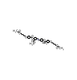 C=CC(=O)OCCCCCOc1ccc(C(=O)Oc2ccc(/N=C/c3ccc(OC(=O)c4ccc(OCCCCCOC(=O)C=C)cc4)c(C(=O)OC)c3)cc2C)cc1